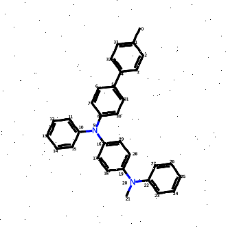 Cc1ccc(-c2ccc(N(c3ccccc3)c3ccc(N(C)c4ccccc4)cc3)cc2)cc1